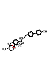 CN1CC[C@]23C[C@@H](O)C=CC2[C@H]1Cc1ccc(C(=O)NCCc2ccc(-c4ccc(O)cc4)cc2)c(O)c13